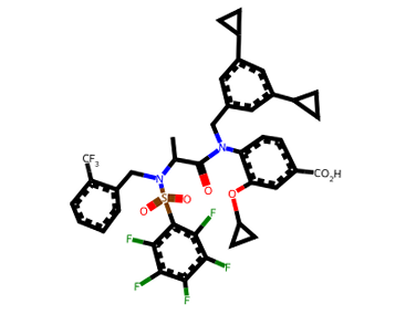 CC(C(=O)N(Cc1cc(C2CC2)cc(C2CC2)c1)c1ccc(C(=O)O)cc1OC1CC1)N(Cc1ccccc1C(F)(F)F)S(=O)(=O)c1c(F)c(F)c(F)c(F)c1F